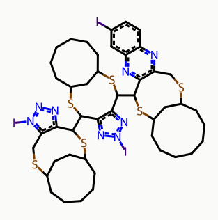 Ic1ccc2nc3c(nc2c1)C(C1SC2CCCCCCC(C2)SC(C2SC4CCCCCC(CC4)SCc4c2nnn4I)c2nn(I)nc21)SC1CCCCCCCC(C1)SC3